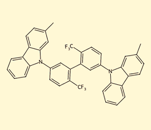 Cc1ccc2c3ccccc3n(-c3ccc(C(F)(F)F)c(-c4cc(-n5c6ccccc6c6ccc(C)cc65)ccc4C(F)(F)F)c3)c2c1